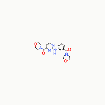 O=C(c1cccc(Nc2nccc(C(=O)N3CCOCC3)n2)c1)N1CCOCC1